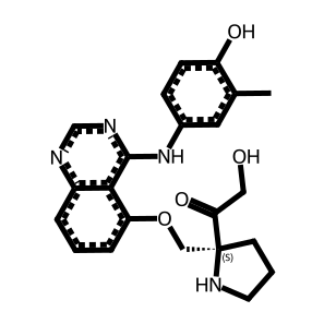 Cc1cc(Nc2ncnc3cccc(OC[C@]4(C(=O)CO)CCCN4)c23)ccc1O